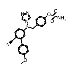 COc1ccc(-c2cc(N(Cc3ccc(OS(N)(=O)=O)cc3)n3cnnc3)ccc2C#N)cc1